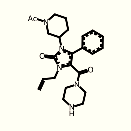 C=CCn1c(C(=O)N2CCNCC2)c(-c2ccccc2)n(C2CCCN(C(C)=O)C2)c1=O